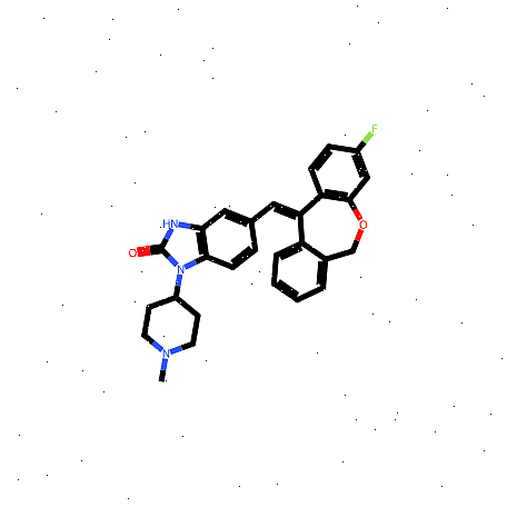 CN1CCC(n2c(=O)[nH]c3cc(/C=C4\c5ccccc5COc5cc(F)ccc54)ccc32)CC1